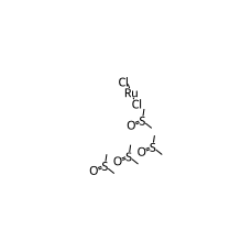 CS(C)=O.CS(C)=O.CS(C)=O.CS(C)=O.[Cl][Ru][Cl]